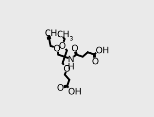 C#CCOCC(COCC)(COCCC(=O)O)NC(=O)CCC(=O)O